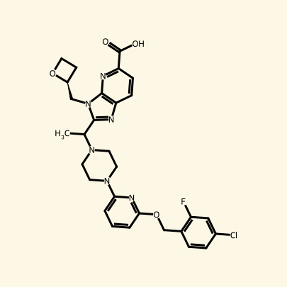 CC(c1nc2ccc(C(=O)O)nc2n1C[C@@H]1CCO1)N1CCN(c2cccc(OCc3ccc(Cl)cc3F)n2)CC1